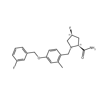 Cc1cc(OCc2cccc(F)c2)ccc1CN1C[C@@H](F)C[C@H]1C(N)=O